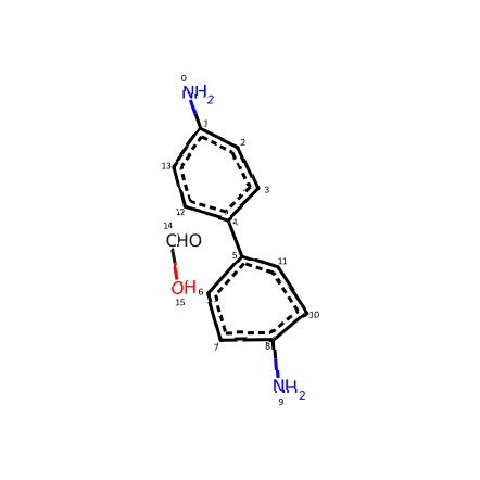 Nc1ccc(-c2ccc(N)cc2)cc1.O=CO